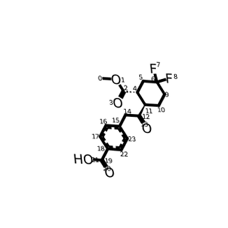 COC(=O)[C@@H]1CC(F)(F)CC[C@H]1C(=O)Cc1ccc(C(=O)O)cc1